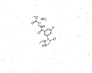 CCN1NCC(Cl)C1c1cc(F)cc(C(=O)NC[C@@H](N)C(=O)OC)c1